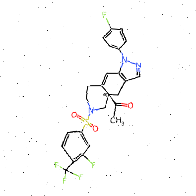 CC(=O)[C@]12Cc3cnn(-c4ccc(F)cc4)c3C=C1CCN(S(=O)(=O)c1ccc(C(F)(F)F)c(F)c1)C2